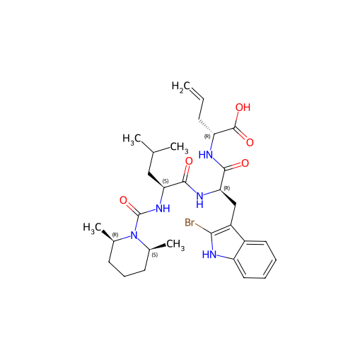 C=CC[C@@H](NC(=O)[C@@H](Cc1c(Br)[nH]c2ccccc12)NC(=O)[C@H](CC(C)C)NC(=O)N1[C@H](C)CCC[C@@H]1C)C(=O)O